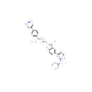 O=C(CN1Cc2ccc(-c3nc(NC4CCOCC4)ncc3Cl)cc2C1=O)N[C@H](CO)c1ccc(-c2cncnc2)cc1